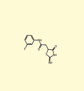 N=C1NC(=O)C(CC(=O)Nc2cccc(F)c2)S1